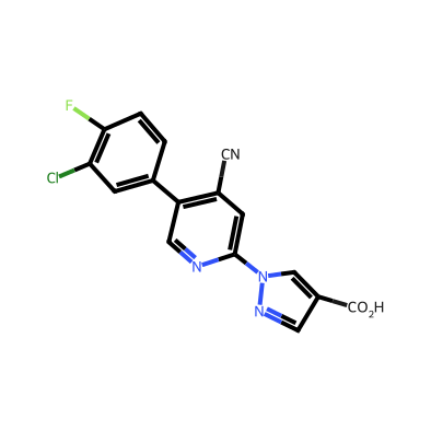 N#Cc1cc(-n2cc(C(=O)O)cn2)ncc1-c1ccc(F)c(Cl)c1